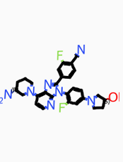 N#Cc1ccc(-c2nc3c(N4CCC[C@@H](N)C4)ccnc3n2-c2ccc(N3CC[C@H](O)C3)cc2F)cc1F